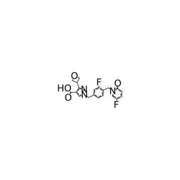 O=C(O)c1cn(Cc2ccc(Cn3cc(F)ccc3=O)c(F)c2)nc1C1COC1